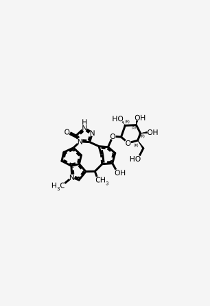 CC1c2cc(c(OC3O[C@H](CO)[C@H](O)[C@H](O)[C@H]3O)cc2O)-c2n[nH]c(=O)n2-c2ccc3c(c2)c1cn3C